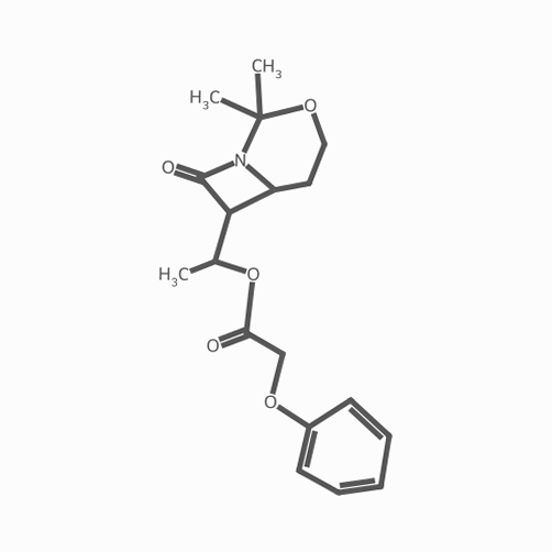 CC(OC(=O)COc1ccccc1)C1C(=O)N2C1CCOC2(C)C